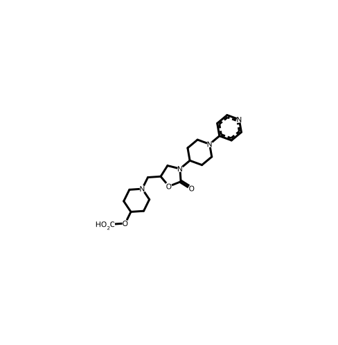 O=C(O)OC1CCN(CC2CN(C3CCN(c4ccncc4)CC3)C(=O)O2)CC1